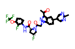 CC(=O)c1nn(CC(=O)N2C[C@H](F)C[C@H]2C(=O)Nc2cccc(OC(F)(F)F)c2F)c2ccc(-c3cnc(C)nc3)cc12